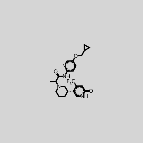 CC(C(=O)Nc1ccc(OCC2CC2)cn1)N1CCC[C@@H](c2c[nH]c(=O)cc2C(F)(F)F)C1